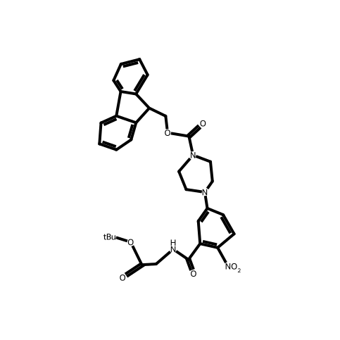 CC(C)(C)OC(=O)CNC(=O)c1cc(N2CCN(C(=O)OCC3c4ccccc4-c4ccccc43)CC2)ccc1[N+](=O)[O-]